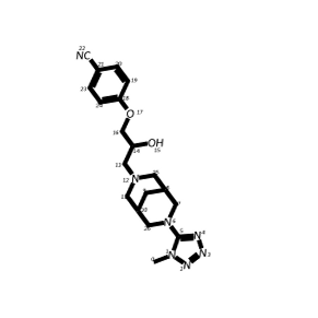 Cn1nnnc1N1CC2CC(CN(CC(O)COc3ccc(C#N)cc3)C2)C1